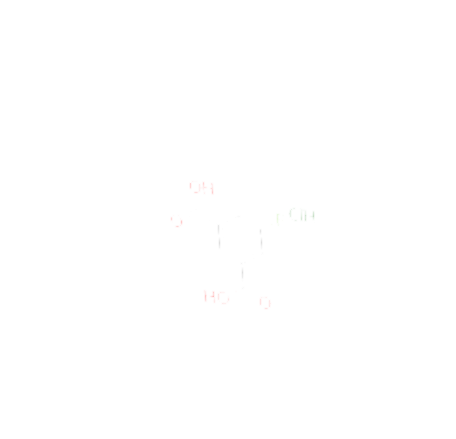 Cl.O=C(O)c1cc(F)cc(C(=O)O)c1